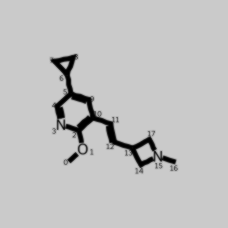 COc1ncc(C2CC2)cc1/C=C/C1CN(C)C1